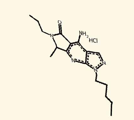 CCCCCn1ncc2c(N)c3c(nc21)C(C)N(CCC)C3=O.Cl